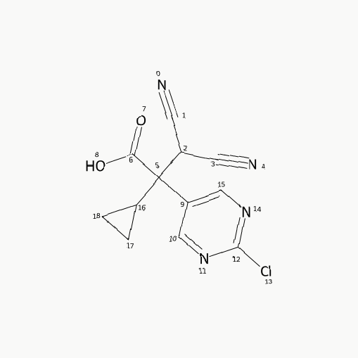 N#CC(C#N)C(C(=O)O)(c1cnc(Cl)nc1)C1CC1